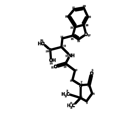 CC1(C)CCC(=O)N1CCC(=O)NC(Cc1coc2ccccc12)B(O)O